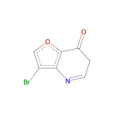 O=C1CC=Nc2c(Br)coc21